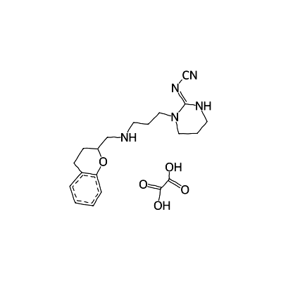 N#CN=C1NCCCN1CCCNCC1CCc2ccccc2O1.O=C(O)C(=O)O